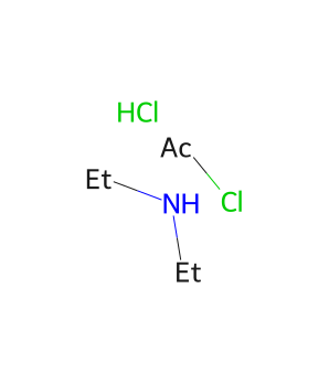 CC(=O)Cl.CCNCC.Cl